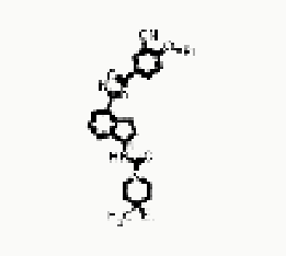 CCC1(C)CCN(C(=O)N[C@@H]2CCc3c(-c4noc(-c5ccc(OC(C)C)c(C#N)c5)n4)cccc32)CC1